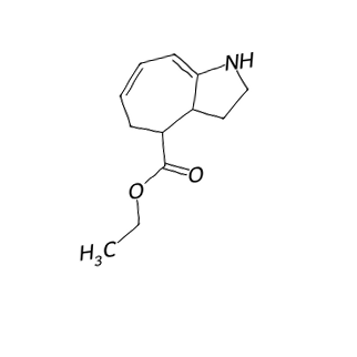 CCOC(=O)C1CC=CC=C2NCCC21